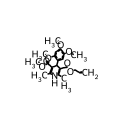 C=CCOC(=O)C1=C(C)NC(C)=C(C(=O)OC)C1c1cc(OC)c(OC)cc1OC